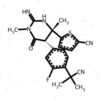 CN1C(=N)N[C@](C)(c2ccc(C#N)s2)[C@H](c2ccc(C(C)(C)C#N)c(F)c2)C1=O